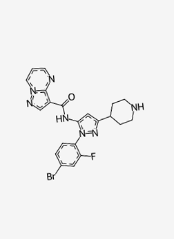 O=C(Nc1cc(C2CCNCC2)nn1-c1ccc(Br)cc1F)c1cnn2cccnc12